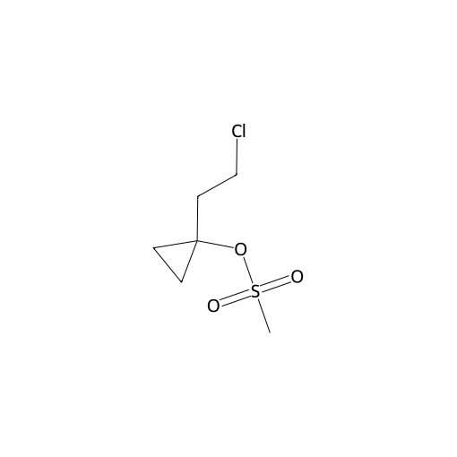 CS(=O)(=O)OC1(CCCl)CC1